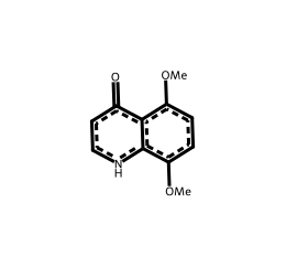 COc1ccc(OC)c2c(=O)cc[nH]c12